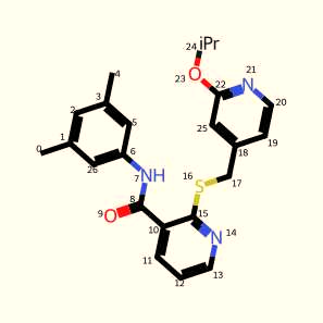 Cc1cc(C)cc(NC(=O)c2cccnc2SCc2ccnc(OC(C)C)c2)c1